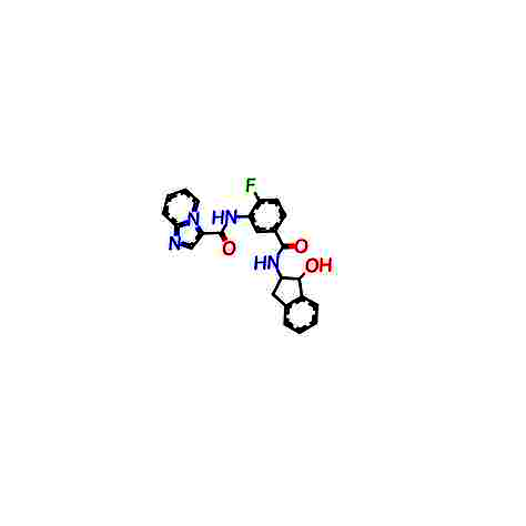 O=C(NC1Cc2ccccc2C1O)c1ccc(F)c(NC(=O)c2cnc3ccccn23)c1